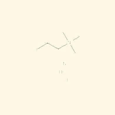 C[N+](C)(C)CCCl.Cl.N.[Cl-]